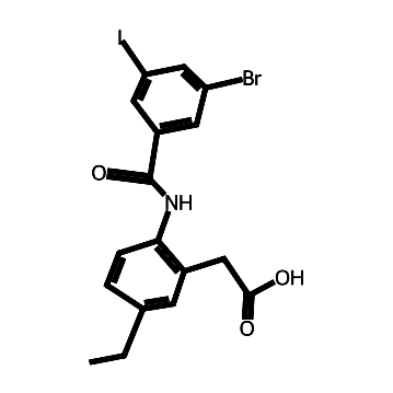 CCc1ccc(NC(=O)c2cc(Br)cc(I)c2)c(CC(=O)O)c1